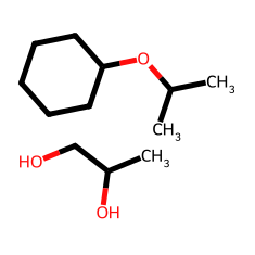 CC(C)OC1CCCCC1.CC(O)CO